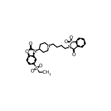 CCS(=O)(=O)c1ccc2oc(=O)n(C3CCN(CCCCN4C(=O)c5ccccc5S4(=O)=O)CC3)c2c1